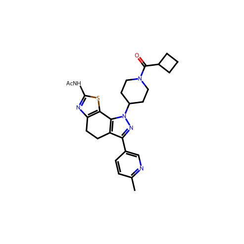 CC(=O)Nc1nc2c(s1)-c1c(c(-c3ccc(C)nc3)nn1C1CCN(C(=O)C3CCC3)CC1)CC2